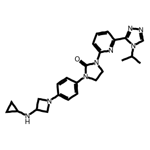 CC(C)n1cnnc1-c1cccc(N2CCN(c3ccc(N4CC(NC5CC5)C4)cc3)C2=O)n1